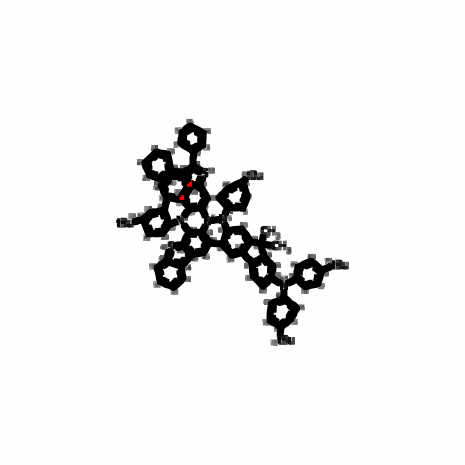 CC(C)(C)c1ccc(N2B3c4cc5sc(-c6ccccc6)c(-c6ccccc6)c5cc4N(c4ccc(C(C)(C)C)cc4-c4ccccc4)c4c3c(cc3c4sc4ccccc43)-c3cc4c(cc32)C(C)(C)c2cc(N(c3ccc(C(C)(C)C)cc3)c3ccc(C(C)(C)C)cc3)ccc2-4)cc1